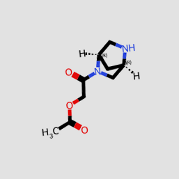 CC(=O)OCC(=O)N1C[C@H]2C[C@@H]1CN2